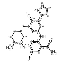 Cn1cc(Nc2nc(N[C@@H]3CCCC[C@@H]3N)c(F)cc2C(N)=O)cc(-n2ccnn2)c1=O